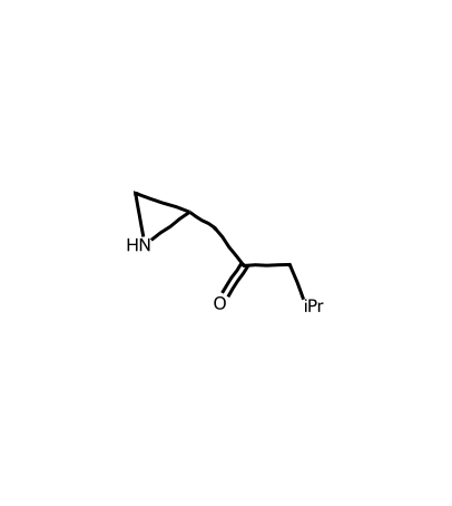 CC(C)CC(=O)CC1CN1